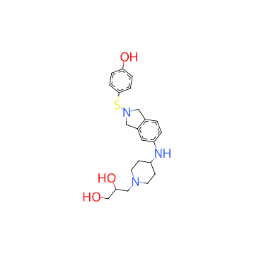 OCC(O)CN1CCC(Nc2ccc3c(c2)CN(Sc2ccc(O)cc2)C3)CC1